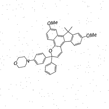 COc1ccc2c(c1)C(C)(C)c1c-2c2c(c3ccc(OC)cc13)OC(c1ccccc1)(c1ccc(N3CCOCC3)cc1)C=C2